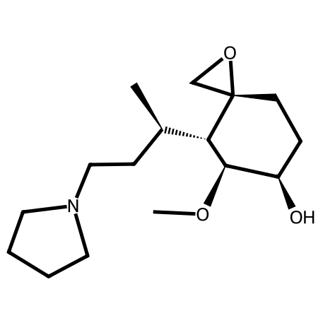 CO[C@H]1[C@H]([C@H](C)CCN2CCCC2)[C@]2(CC[C@H]1O)CO2